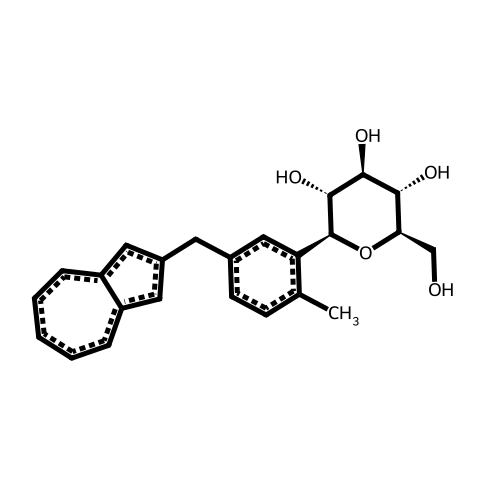 Cc1ccc(Cc2cc3cccccc-3c2)cc1[C@@H]1O[C@H](CO)[C@@H](O)[C@H](O)[C@H]1O